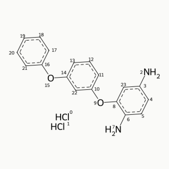 Cl.Cl.Nc1ccc(N)c(Oc2cccc(Oc3ccccc3)c2)c1